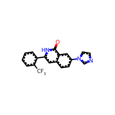 O=c1[nH]c(-c2ccccc2C(F)(F)F)cc2ccc(-n3ccnc3)cc12